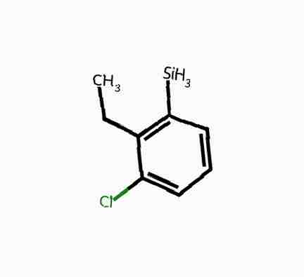 CCc1c([SiH3])cccc1Cl